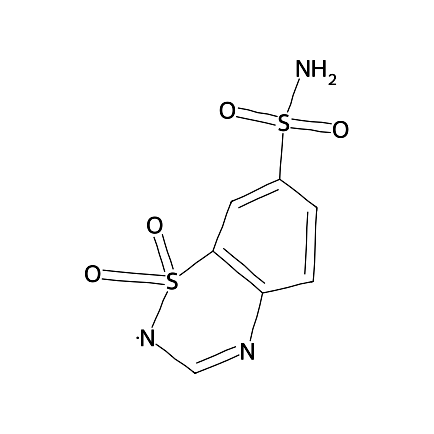 NS(=O)(=O)c1ccc2c(c1)S(=O)(=O)[N]C=N2